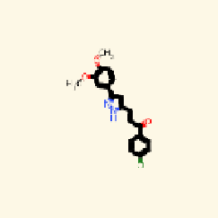 COc1ccc(-c2cc(C=CC(=O)c3ccc(Cl)cc3)[nH]n2)cc1OC